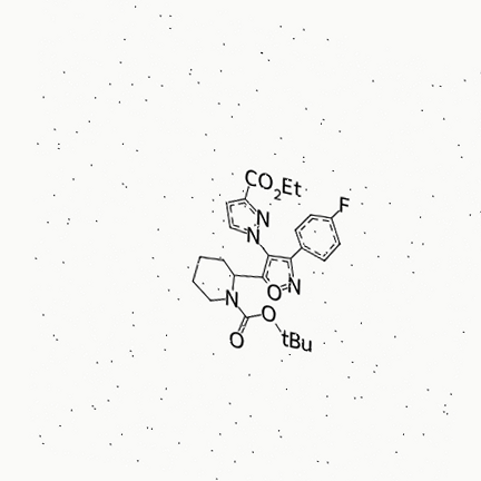 CCOC(=O)c1ccn(-c2c(-c3ccc(F)cc3)noc2C2CCCCN2C(=O)OC(C)(C)C)n1